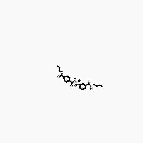 CCCCNC(=O)c1cccc(S(=O)(=O)NC(=O)c2ccc(C(=O)OCCC)nc2)c1